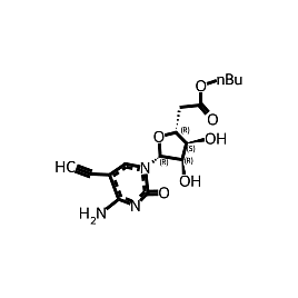 C#Cc1cn([C@@H]2O[C@H](CC(=O)OCCCC)[C@@H](O)[C@H]2O)c(=O)nc1N